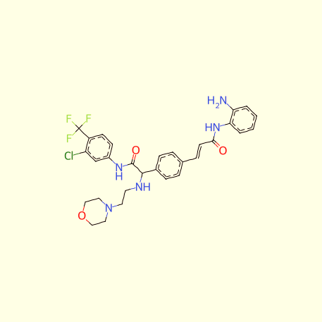 Nc1ccccc1NC(=O)C=Cc1ccc(C(NCCN2CCOCC2)C(=O)Nc2ccc(C(F)(F)F)c(Cl)c2)cc1